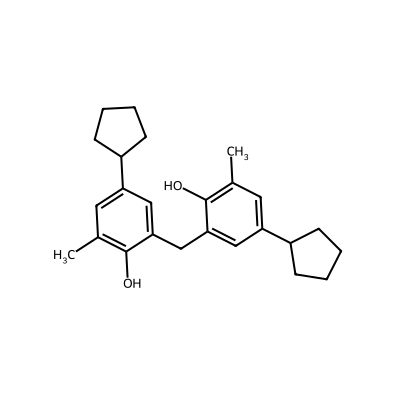 Cc1cc(C2CCCC2)cc(Cc2cc(C3CCCC3)cc(C)c2O)c1O